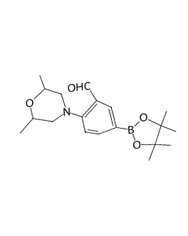 CC1CN(c2ccc(B3OC(C)(C)C(C)(C)O3)cc2C=O)CC(C)O1